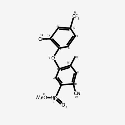 CO[PH](=O)c1cc(Oc2ccc(C(F)(F)F)cc2Cl)c(C)cc1C#N